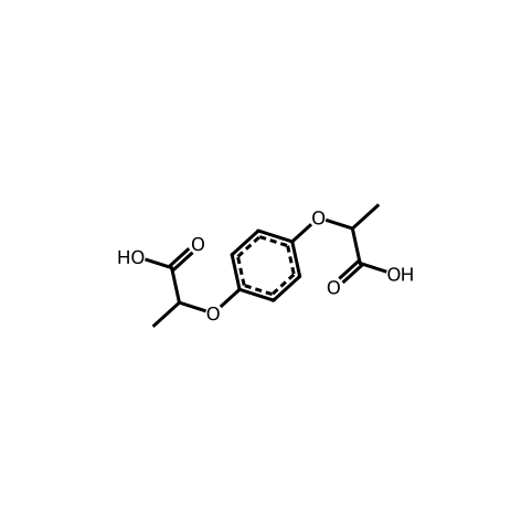 CC(Oc1ccc(OC(C)C(=O)O)cc1)C(=O)O